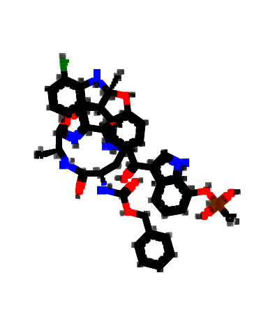 CC(C)[C@@H]1NC(=O)[C@@H](NC(=O)OCc2ccccc2)Cc2ccc3c(c2)C2(c4cccc(Br)c4N[C@H]2O3)c2oc1nc2C(=O)NCC(=O)c1c[nH]c2c(OS(=O)(=O)C(F)(F)F)cccc12